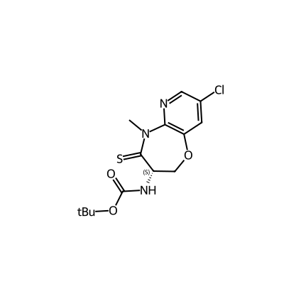 CN1C(=S)[C@@H](NC(=O)OC(C)(C)C)COc2cc(Cl)cnc21